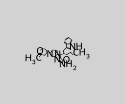 CCCCC(Cc1c[nH]c2ccccc12)c1c(C(N)=O)nc2n1CCN(C1CCOC(C)C1)C2